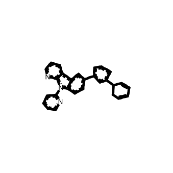 C1=CCC(c2cccc(-c3ccc4c(c3)c3cccnc3n4-c3ccccn3)c2)C=C1